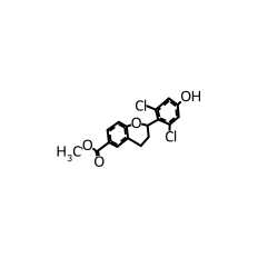 COC(=O)c1ccc2c(c1)CCC(c1c(Cl)cc(O)cc1Cl)O2